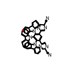 N#Cc1cnc(-c2cc(-c3cnc(C#N)cn3)c(-n3c4ccccc4c4ccccc43)c(-n3c4ccccc4c4ccccc43)c2-n2c3ccccc3c3ccccc32)cn1